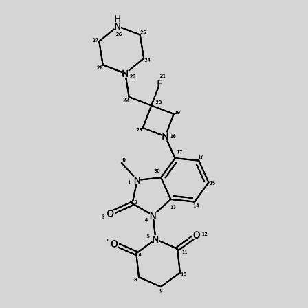 Cn1c(=O)n(N2C(=O)CCCC2=O)c2cccc(N3CC(F)(CN4CCNCC4)C3)c21